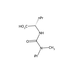 CCC[C@H](NC(=O)N(C)C(C)C)C(=O)O